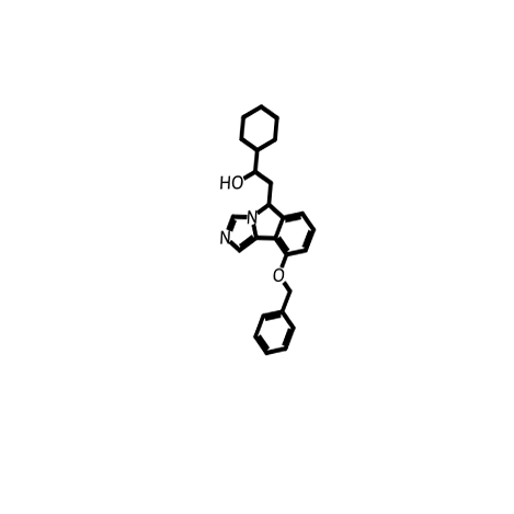 OC(CC1c2cccc(OCc3ccccc3)c2-c2cncn21)C1CCCCC1